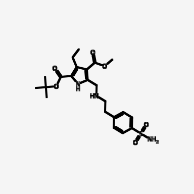 CCc1c(C(=O)OC(C)(C)C)[nH]c(CNCCc2ccc(S(N)(=O)=O)cc2)c1C(=O)OC